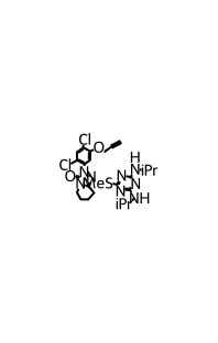 C#CCOc1cc(-n2nc3n(c2=O)CCCC3)c(Cl)cc1Cl.CSc1nc(NC(C)C)nc(NC(C)C)n1